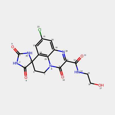 O=C1NC(=O)C2(CCn3c(=O)c(C(=O)NCCO)nc4cc(Cl)cc2c43)N1